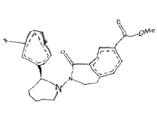 COC(=O)c1ccc2c(c1)C(=O)N(N1CCC[C@H]1c1cccc(F)c1)C2